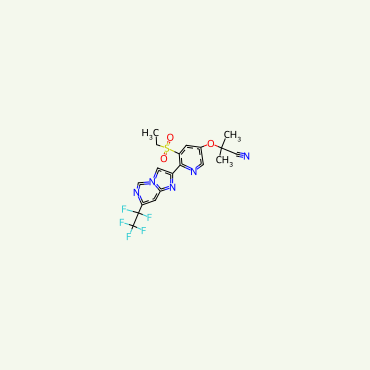 CCS(=O)(=O)c1cc(OC(C)(C)C#N)cnc1-c1cn2cnc(C(F)(F)C(F)(F)F)cc2n1